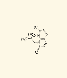 CC(O)Cn1c(=O)ccc2ccc(Br)nc21